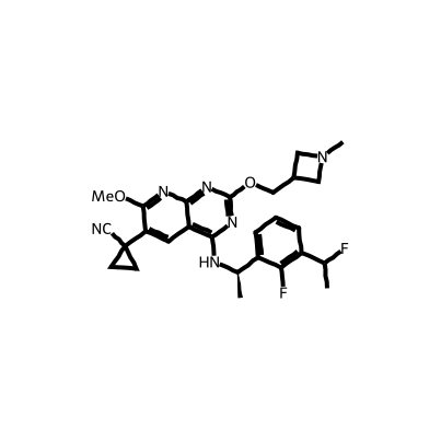 COc1nc2nc(OCC3CN(C)C3)nc(N[C@H](C)c3cccc(C(C)F)c3F)c2cc1C1(C#N)CC1